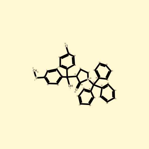 CSc1ccc(C(O)(c2ccc(Cl)cc2)C2CCN(C(c3ccccc3)(c3ccccc3)c3ccccc3)C2=O)cc1